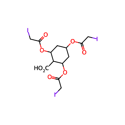 O=C(CI)OC1CC(OC(=O)CI)C(C(=O)O)C(OC(=O)CI)C1